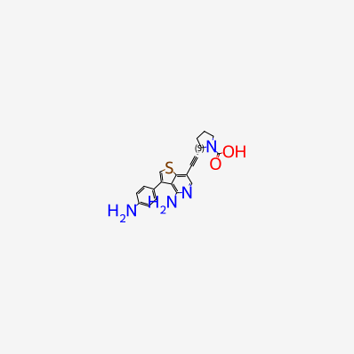 Nc1ccc(-c2csc3c(C#C[C@@H]4CCCN4C(=O)O)cnc(N)c23)cc1